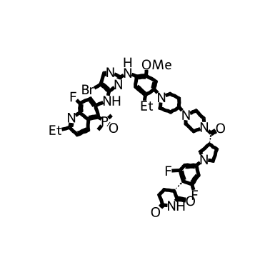 CCc1ccc2c(P(C)(C)=O)c(Nc3nc(Nc4cc(CC)c(N5CCC(N6CCN(C(=O)[C@@H]7CCN(c8cc(F)c([C@H]9CCC(=O)NC9=O)c(F)c8)C7)CC6)CC5)cc4OC)ncc3Br)cc(F)c2n1